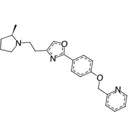 C[C@@H]1CCCN1CCc1coc(-c2ccc(OCc3ccccn3)cc2)n1